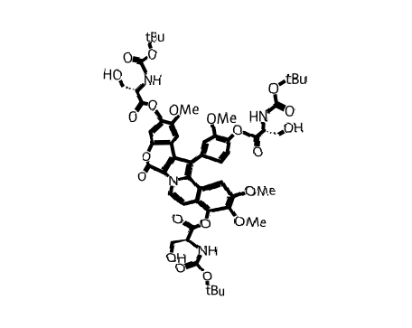 COc1cc2c(cc1OC(=O)[C@H](CO)NC(=O)OC(C)(C)C)oc(=O)c1c2c(-c2ccc(OC(=O)[C@@H](CO)NC(=O)OC(C)(C)C)c(OC)c2)c2c3cc(OC)c(OC)c(OC(=O)[C@H](CO)NC(=O)OC(C)(C)C)c3ccn21